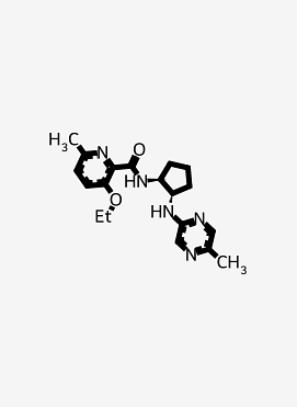 CCOc1ccc(C)nc1C(=O)N[C@H]1CCC[C@@H]1Nc1cnc(C)cn1